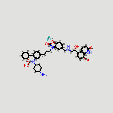 F.F.NC1CCC(N(C(=O)O)c2cc(CCCn3c(=O)oc4ccc(CNC[C@@H](O)c5ccc(O)c6[nH]c(=O)ccc56)cc43)ccc2-c2ccccc2)CC1